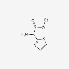 CCOC(=O)C(N)c1nccs1